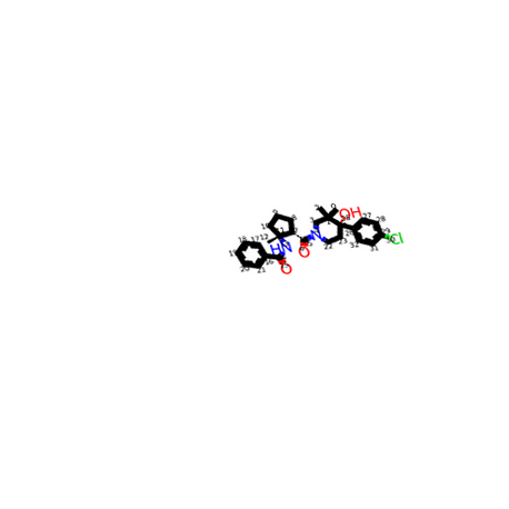 CC1(C)CN(C(=O)[C@H]2CCC[C@@]2(C)NC(=O)c2ccccc2)CC[C@]1(O)c1ccc(Cl)cc1